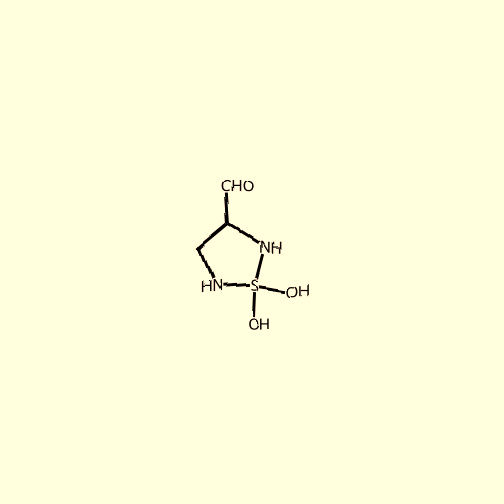 O=CC1CNS(O)(O)N1